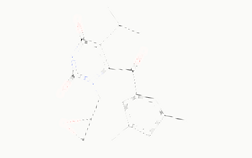 Cc1cc(C)cc(C(=O)c2c(C(C)C)c(=O)[nH]c(=O)n2CC2CO2)c1